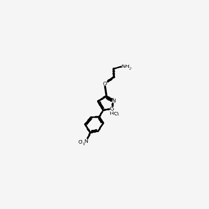 Cl.NCCOc1cc(-c2ccc([N+](=O)[O-])cc2)on1